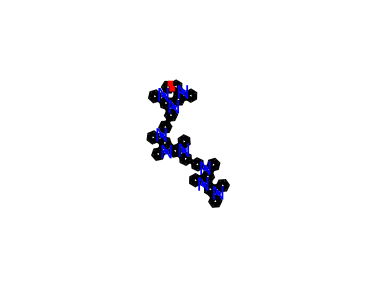 c1ccc(-n2c3ccccc3c3cc4c5cc(-c6ccc(-n7c8ccccc8c8c9c%10ccccc%10n%10c%11cc%12c%13ccc(-c%14ccc(-n%15c%16ccccc%16c%16cc%17c%18c%19c%20ccccc%20n%20c%21ccccc%21c(cc%18n%18c%21ccccc%21c(c%16%15)c%17%18)c%19%20)cc%14)cc%13n%13c%14ccccc%14c(c%11c(cc87)c9%10)c%12%13)cc6)ccc5n5c6cc7c8ccccc8n8c9ccccc9c(c6c(c32)c45)c78)cc1